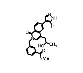 CNC(=O)c1cccc(Cn2cc(CC(C)O)c3cc(-c4cn[nH]c4Cl)ccc3c2=O)c1